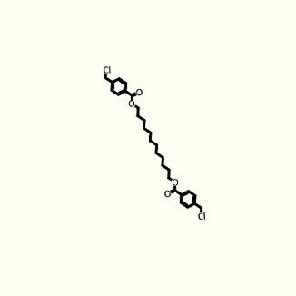 O=C(OCCCCCCCCCCCCOC(=O)c1ccc(CCl)cc1)c1ccc(CCl)cc1